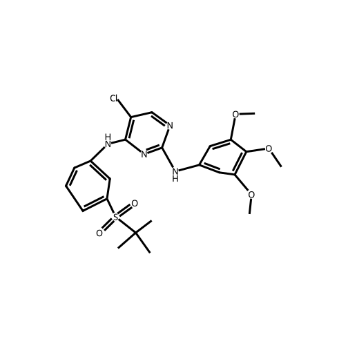 COc1cc(Nc2ncc(Cl)c(Nc3cccc(S(=O)(=O)C(C)(C)C)c3)n2)cc(OC)c1OC